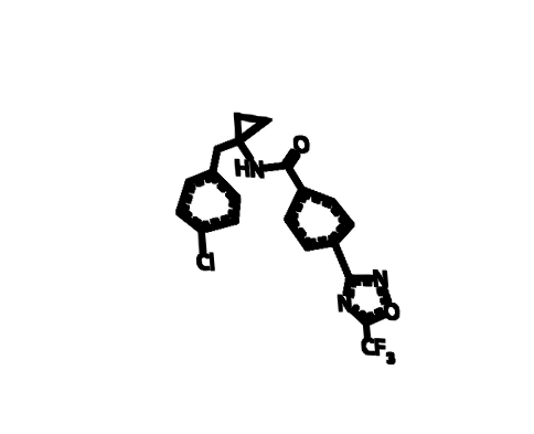 O=C(NC1(Cc2ccc(Cl)cc2)CC1)c1ccc(-c2noc(C(F)(F)F)n2)cc1